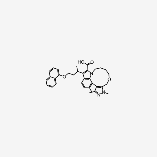 Cc1ccc2c(C(C)CCOc3cccc4ccccc34)c(C(=O)O)n3c2c1-c1c(C)nn(C)c1COCCCC3